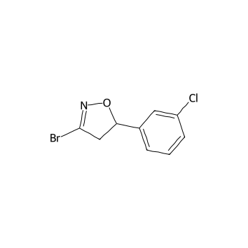 Clc1cccc(C2CC(Br)=NO2)c1